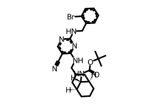 CC(C)(C)OC(=O)N[C@@H]1[C@@H]2CCC[C@H]1CC(CNc1nc(NCc3ccccc3Br)ncc1C#N)C2